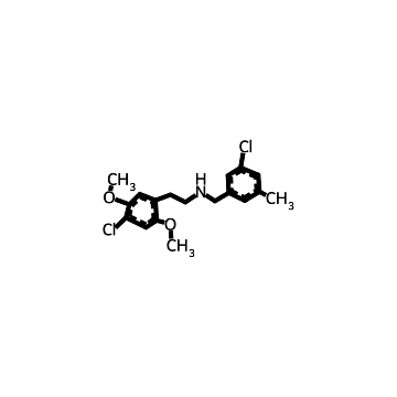 COc1cc(CCNCc2cc(C)cc(Cl)c2)c(OC)cc1Cl